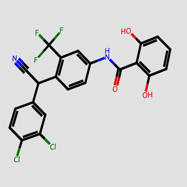 N#CC(c1ccc(Cl)c(Cl)c1)c1ccc(NC(=O)c2c(O)cccc2O)cc1C(F)(F)F